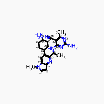 Cc1nc(N)nc(NC(C)c2nc3ccn(C)c3cc2C2CCC(N)CC2)c1C#N